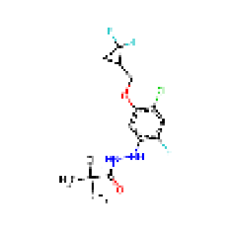 CC(C)(C)C(=O)NNc1cc(OCC2CC2(F)F)c(Cl)cc1F